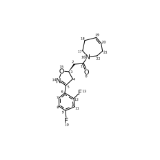 O=C(C[C@H]1CC(c2ccc(F)cc2F)=NO1)N1CCC=CCC1